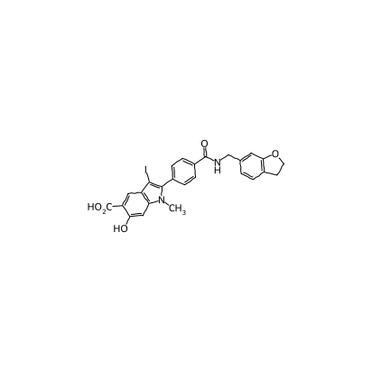 Cn1c(-c2ccc(C(=O)NCc3ccc4c(c3)OCC4)cc2)c(I)c2cc(C(=O)O)c(O)cc21